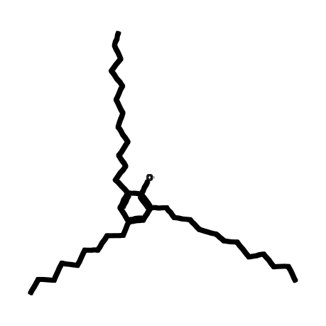 CCCCCCCCCCCCc1cc(CCCCCCCCC)cc(CCCCCCCCCCCC)c1[O]